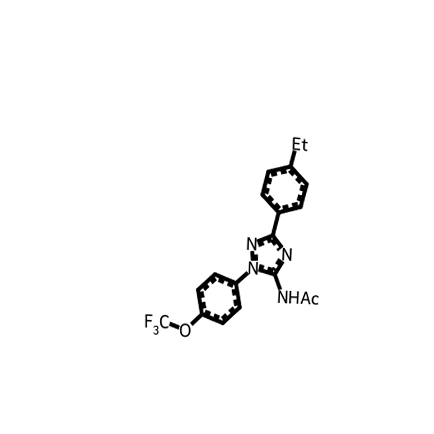 CCc1ccc(-c2nc(NC(C)=O)n(-c3ccc(OC(F)(F)F)cc3)n2)cc1